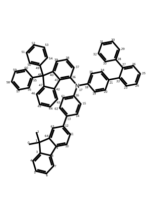 CC1(C)c2ccccc2-c2ccc(-c3ccc(N(c4ccc(-c5ccccc5-c5ccccc5)cc4)c4cccc5c4-c4ccccc4C5(c4ccccc4)c4ccccc4)cc3)cc21